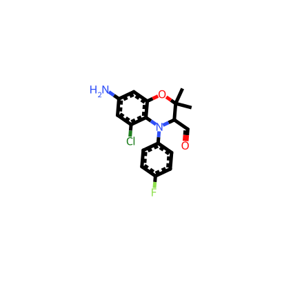 CC1(C)Oc2cc(N)cc(Cl)c2N(c2ccc(F)cc2)C1C=O